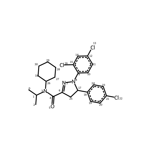 CC(C)N(C(=O)C1=NN(c2ccc(Cl)cc2Cl)C(c2ccc(Cl)cc2)C1)C1CCCCC1